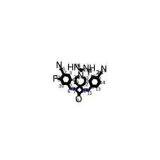 N#Cc1ccc(/C=C2/C(=O)/C(=C/c3ccc(C#N)c(F)c3)C23CCN(C(=N)N)CC3)cc1F